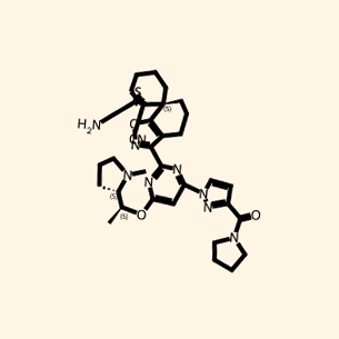 C[C@H](Oc1cc(-n2ccc(C(=O)N3CCCC3)n2)nc(-c2noc3c2CCC[C@@]32CCCc3sc(N)c(C#N)c32)n1)[C@@H]1CCCN1C